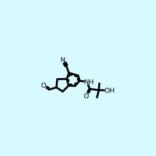 CC(C)(O)C(=O)Nc1cc(C#N)c2c(c1)CC(C=O)C2